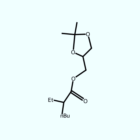 CCCCC(CC)C(=O)OCC1COC(C)(C)O1